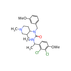 COc1cccc(CN(C(=O)NC(C)c2ccc(OC)c(Cl)c2Cl)C2CCN(C)CC2C)c1